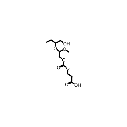 CCC(CO)OC(COC(=O)OCCC(=O)O)OC